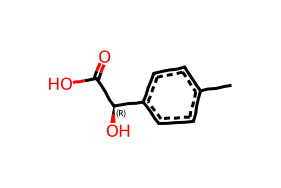 Cc1ccc([C@@H](O)C(=O)O)cc1